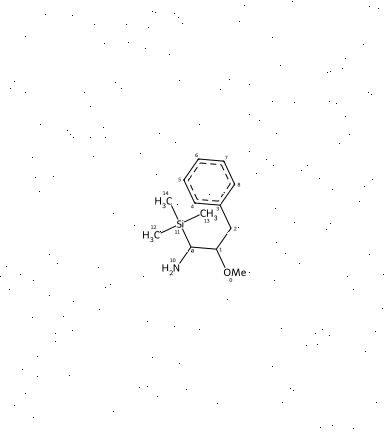 COC(Cc1ccccc1)C(N)[Si](C)(C)C